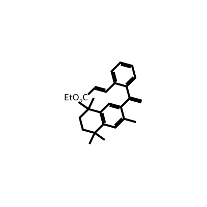 C=C(c1cc2c(cc1C)C(C)(C)CCC2(C)C)c1ccccc1C=CC(=O)OCC